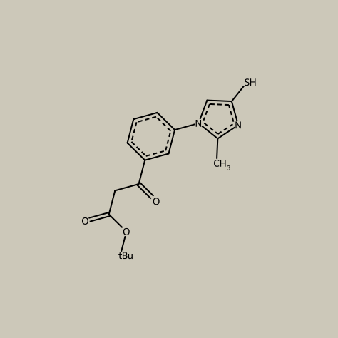 Cc1nc(S)cn1-c1cccc(C(=O)CC(=O)OC(C)(C)C)c1